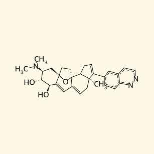 CN(C)[C@H]1C[C@@]23CC[C@@]4(O2)C(=CC[C@]2(C)C(c5ccc6nnccc6c5)=CCC24)C=C3[C@@H](O)[C@@H]1O